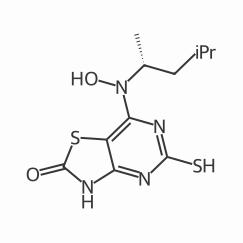 CC(C)C[C@@H](C)N(O)c1nc(S)nc2[nH]c(=O)sc12